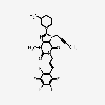 CC#CCn1c(N2CCCC(N)C2)nc2c1c(=O)n(CC=Cc1c(F)c(F)c(F)c(F)c1F)c(=O)n2C